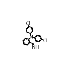 N=Cc1ccccc1N(c1ccc(Cl)cc1)C1C=CC(Cl)=CC1